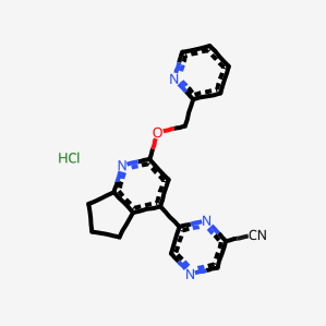 Cl.N#Cc1cncc(-c2cc(OCc3ccccn3)nc3c2CCC3)n1